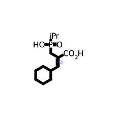 CC(C)P(=O)(O)C/C(=C\C1CCCCC1)C(=O)O